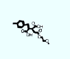 COCCOC(=O)CC(C(=O)O)C(=Cc1ccc(C)cc1)C(=O)O